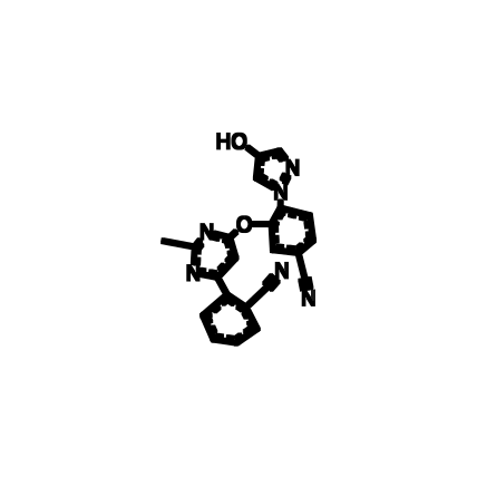 Cc1nc(Oc2cc(C#N)ccc2-n2cc(O)cn2)cc(-c2ccccc2C#N)n1